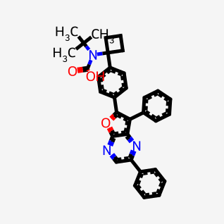 CC(C)(C)N(C(=O)O)C1(c2ccc(-c3oc4ncc(-c5ccccc5)nc4c3-c3ccccc3)cc2)CCC1